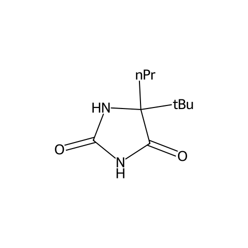 CCCC1(C(C)(C)C)NC(=O)NC1=O